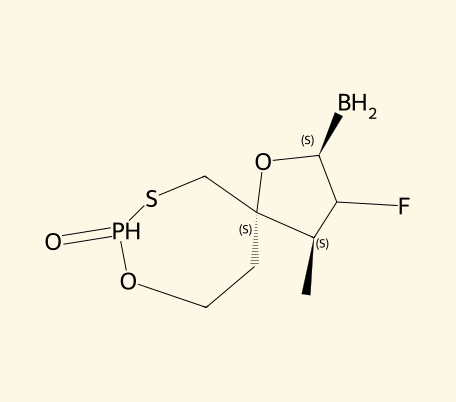 B[C@@H]1O[C@@]2(CCO[PH](=O)SC2)[C@H](C)C1F